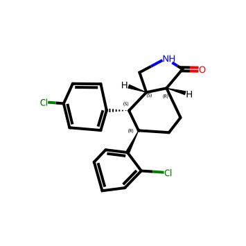 O=C1NC[C@H]2[C@@H](c3ccc(Cl)cc3)[C@H](c3ccccc3Cl)CC[C@@H]12